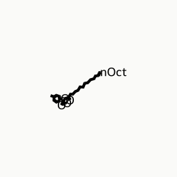 CCCCCCCCC=CCCCCCCCCCCCC(=O)OS(=O)(=O)c1ccc(C)cc1